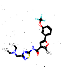 CCN(CC)Cc1nsc(NC(=O)c2cc(-c3cccc(OC(F)(F)F)c3)oc2C)n1